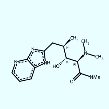 CNC(=O)[C@@H]([C@H](O)[C@H](C)Cc1nc2ncccc2[nH]1)N(C)C